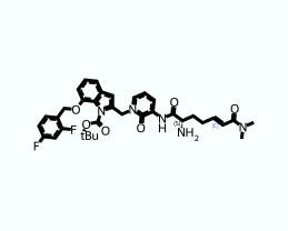 CN(C)C(=O)/C=C/CC[C@H](N)C(=O)Nc1cccn(Cc2cc3cccc(OCc4ccc(F)cc4F)c3n2C(=O)OC(C)(C)C)c1=O